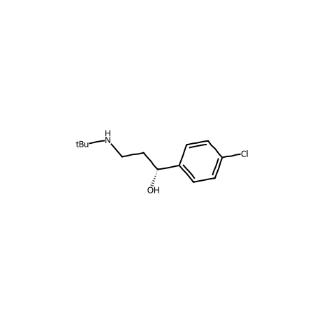 CC(C)(C)NCC[C@@H](O)c1ccc(Cl)cc1